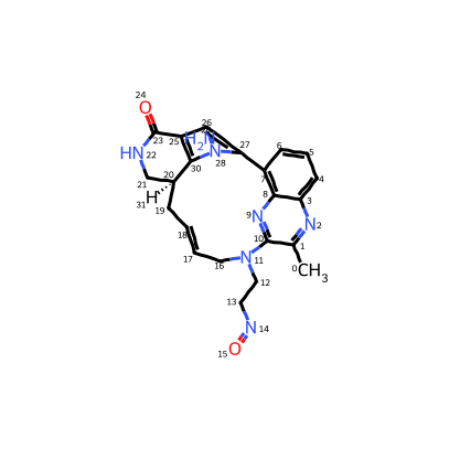 Cc1nc2cccc3c2nc1N(CCN=O)C/C=C/C[C@H]1CNC(=O)c2cc-3n(N)c21